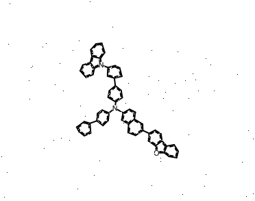 c1ccc(-c2ccc(N(c3ccc(-c4cccc(-n5c6ccccc6c6ccccc65)c4)cc3)c3ccc4cc(-c5ccc6c(c5)oc5ccccc56)ccc4c3)cc2)cc1